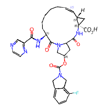 O=C(N[C@H]1CCCCC/C=C\[C@@H]2C[C@@]2(C(=O)O)NC(=O)C2C[C@@H](OC(=O)N3Cc4cccc(F)c4C3)CN2C1=O)c1cnccn1